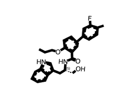 CCCOc1ccc(-c2ccc(C)c(F)c2)cc1C(=O)N[C@H](CO)Cc1c[nH]c2ccccc12